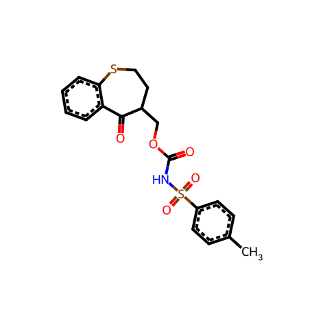 Cc1ccc(S(=O)(=O)NC(=O)OCC2CCSc3ccccc3C2=O)cc1